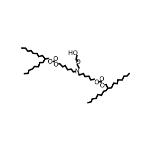 CCCCCCCCC(CCCCCCCC)COC(=O)OCCCCCCN(CCCCCCOC(=O)OCC(CCCCCCCC)CCCCCCCC)CCOCCO